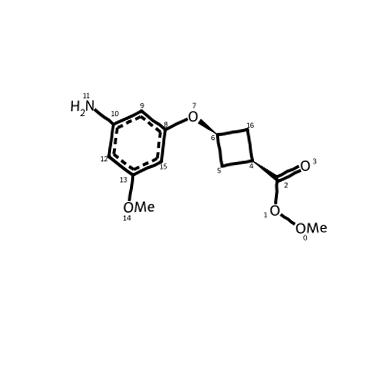 COOC(=O)[C@H]1C[C@@H](Oc2cc(N)cc(OC)c2)C1